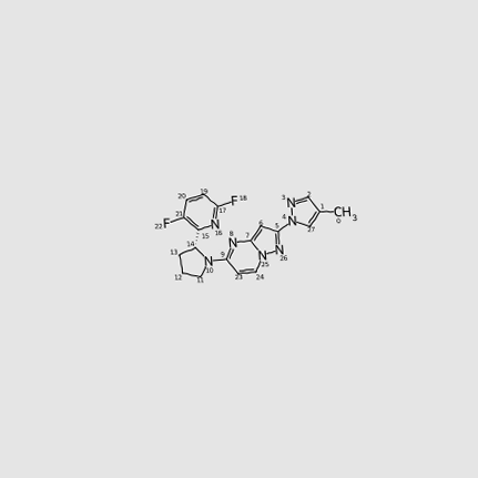 Cc1cnn(-c2cc3nc(N4CCC[C@@H]4c4nc(F)ccc4F)ccn3n2)c1